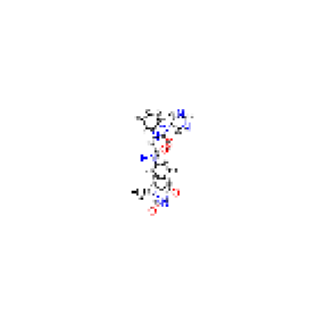 CN1C(=O)NC(=O)C12Cc1ccc(NC(=O)Cn3c(=O)n(-c4cncnc4)c4ccccc43)cc1C2